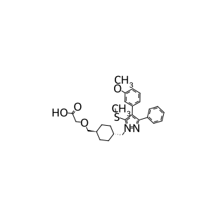 COc1cccc(-c2c(-c3ccccc3)nn(C[C@H]3CC[C@H](COCC(=O)O)CC3)c2SC)c1